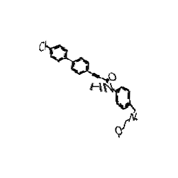 COCCN(C)Cc1ccc(NC(=O)C#Cc2ccc(-c3ccc(Cl)cc3)cc2)cc1